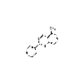 Cc1cccc2nc(-c3ccccc3)n[c]c12